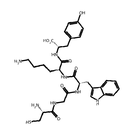 NCCCC[C@H](NC(=O)[C@H](Cc1c[nH]c2ccccc12)NC(=O)CNC(=O)[C@@H](N)CS)C(=O)N[C@@H](Cc1ccc(O)cc1)C(=O)O